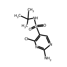 CC(C)(C)NS(=O)(=O)c1cnc(N)nc1Cl